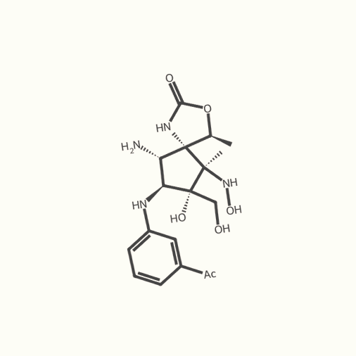 CC(=O)c1cccc(N[C@H]2[C@H](N)[C@]3(NC(=O)O[C@H]3C)[C@@](C)(NO)[C@@]2(O)CO)c1